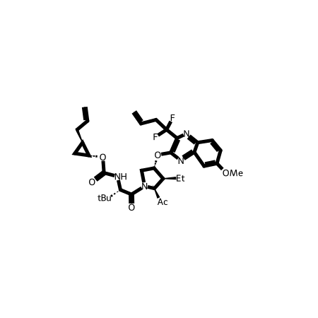 C=CC[C@@H]1C[C@H]1OC(=O)N[C@H](C(=O)N1C[C@H](Oc2nc3cc(OC)ccc3nc2C(F)(F)CC=C)[C@@H](CC)[C@H]1C(C)=O)C(C)(C)C